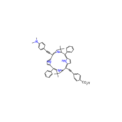 CN(C)c1ccc(C#Cc2c3nc(c(-c4ccccc4)c4ccc([nH]4)c(C#Cc4ccc(C(=O)O)cc4)c4nc(c(-c5ccccc5)c5ccc2[nH]5)C(C)(C)C4)C(C)(C)C3)cc1